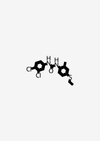 CCSc1ccc(NC(=O)Nc2ccc(Cl)c(Cl)c2)c(C)c1